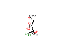 COC(=O)CC/C=C\CC[C@H]1C(=O)C[C@@H](O)[C@@H]1/C=C/C[C@@](C)(O)/C=C/C=C(Cl)Cl